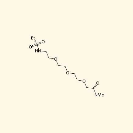 CCS(=O)(=O)NCCOCCOCCOCC(=O)NC